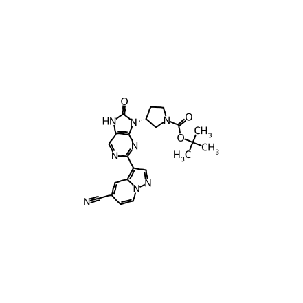 CC(C)(C)OC(=O)N1CC[C@@H](n2c(=O)[nH]c3cnc(-c4cnn5ccc(C#N)cc45)nc32)C1